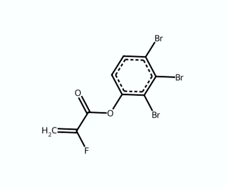 C=C(F)C(=O)Oc1ccc(Br)c(Br)c1Br